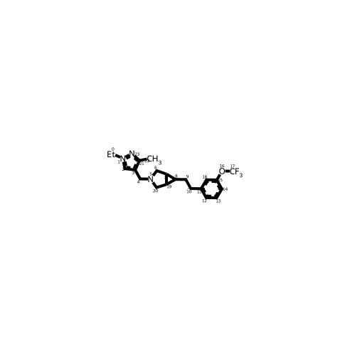 CCn1cc(CN2CC3C(C[CH]c4cccc(OC(F)(F)F)c4)C3C2)c(C)n1